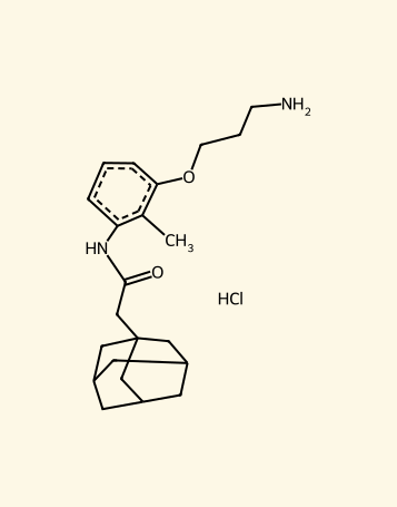 Cc1c(NC(=O)CC23CC4CC(CC(C4)C2)C3)cccc1OCCCN.Cl